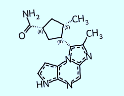 Cc1nc2cnc3[nH]ccc3n2c1[C@@H]1C[C@H](C(N)=O)C[C@@H]1C